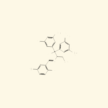 CC(C)CC(N=Cc1cc(F)ccc1O)C(O)(c1cc(C(C)(C)C)cc(C(C)(C)C)c1)c1cc(C(C)(C)C)cc(C(C)(C)C)c1